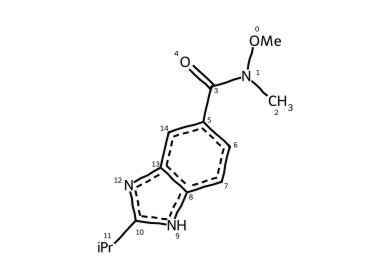 CON(C)C(=O)c1ccc2[nH]c(C(C)C)nc2c1